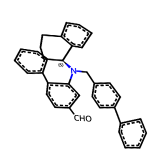 O=Cc1ccc(-c2ccccc2)c(N(Cc2ccc(-c3ccccc3)cc2)[C@H]2CCCc3ccccc32)c1